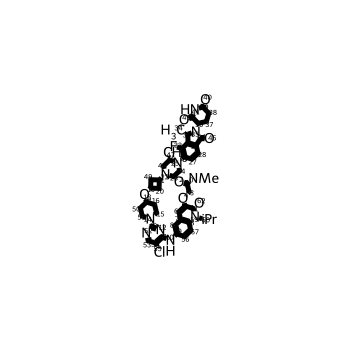 CNC(=O)COc1cc2cc(Nc3nc(N4CCC(OC5CC(N6CCN(c7ccc8c(c7F)[C@@H](C)N([C@H]7CCC(=O)NC7=O)C8=O)[C@H](C)C6)C5)CC4)ncc3Cl)ccc2n(C(C)C)c1=O